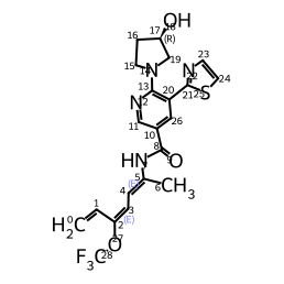 C=C/C(=C\C=C(/C)NC(=O)c1cnc(N2CC[C@@H](O)C2)c(-c2nccs2)c1)OC(F)(F)F